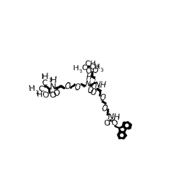 CC(C)[C@H](NC(=O)CCOCCOCCNC(=O)[C@H](CCC(=O)OC(C)(C)C)NC(=O)CCOCCOCCNC(=O)OCC1c2ccccc2-c2ccccc21)C(=O)O